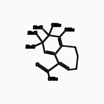 COC(=O)C1=CCCCC2=C(OC)C(OC)(OC)C(OC)(OC)C=C12